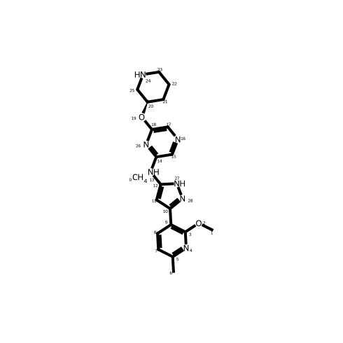 C.COc1nc(C)ccc1-c1cc(Nc2cncc(O[C@@H]3CCCNC3)n2)[nH]n1